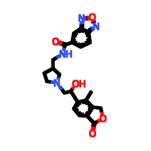 Cc1c(C(O)CN2CCC(CNC(=O)c3ccc4nonc4c3)C2)ccc2c1COC2=O